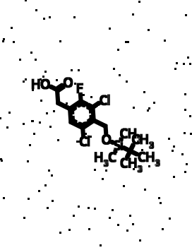 CC(C)(C)[Si](C)(C)OCc1c(Cl)cc(CC(=O)O)c(F)c1Cl